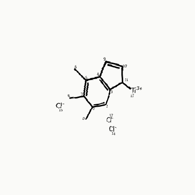 Cc1cc2c(c(C)c1C)C=C[CH]2[Ti+3].[Cl-].[Cl-].[Cl-]